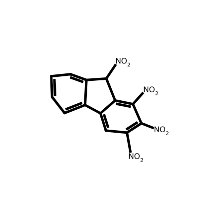 O=[N+]([O-])c1cc2c(c([N+](=O)[O-])c1[N+](=O)[O-])C([N+](=O)[O-])c1ccccc1-2